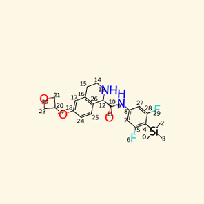 C[Si](C)(C)c1c(F)cc(NC(=O)[C@@H]2NCCc3cc(OC4COC4)ccc32)cc1F